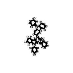 C1=CC2C(C=C1n1c3c4ccccc4n(-c4ccccc4)c3n3c4ccccc4nc13)c1ccccc1N2c1ccccc1